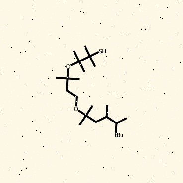 CC(CC(C)(C)OCCC(C)(C)OC(C)(C)C(C)(C)S)C(C)C(C)(C)C